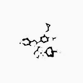 Nc1ccc(S(=O)(=O)N2CSCC2C(=O)OC(Cc2c(Cl)c[n+]([O-])cc2Cl)c2ccc(OC(F)F)c(OCC3CC3)c2)cc1